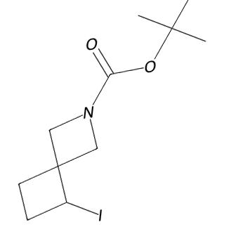 CC(C)(C)OC(=O)N1CC2(CCC2I)C1